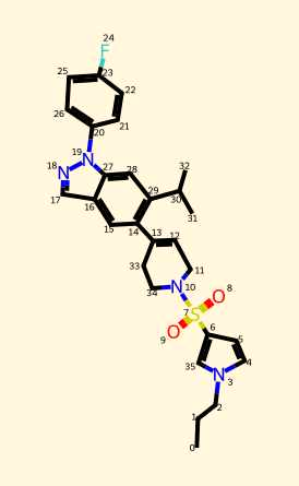 CCCn1ccc(S(=O)(=O)N2CC=C(c3cc4cnn(-c5ccc(F)cc5)c4cc3C(C)C)CC2)c1